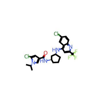 CC(C)n1cc(C(=O)N[C@@H]2CCC[C@H](Nc3cc(C(F)(F)F)nc4ccc(Cl)cc34)C2)cc1Cl